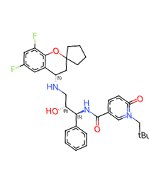 CC(C)(C)Cn1cc(C(=O)N[C@@H](c2ccccc2)[C@H](O)CN[C@H]2CC3(CCCC3)Oc3c(F)cc(F)cc32)ccc1=O